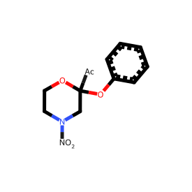 CC(=O)C1(Oc2ccccc2)CN([N+](=O)[O-])CCO1